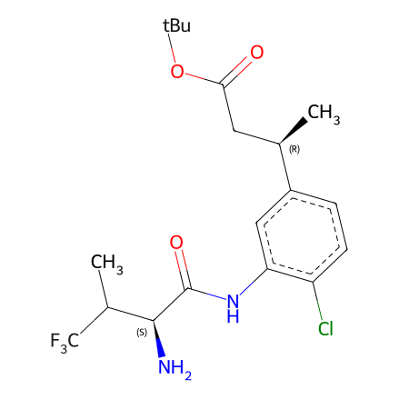 CC([C@H](N)C(=O)Nc1cc([C@H](C)CC(=O)OC(C)(C)C)ccc1Cl)C(F)(F)F